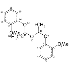 COc1ccccc1OC(C)OC(C)Oc1ccccc1OC